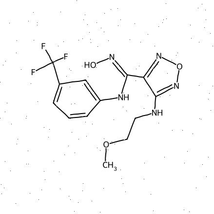 COCCNc1nonc1/C(=N/O)Nc1cccc(C(F)(F)F)c1